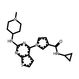 CN1CCC(Nc2nc(-n3ccc(C(=O)NC4CC4)c3)c3ccsc3n2)CC1